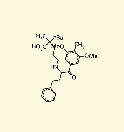 CCCCC(C)(CCCNC(CCc1ccccc1)C(=O)c1cc(OC)c(C)c(OC)c1)C(=O)O